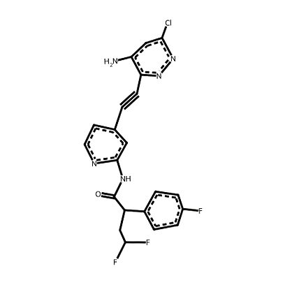 Nc1cc(Cl)nnc1C#Cc1ccnc(NC(=O)C(CC(F)F)c2ccc(F)cc2)c1